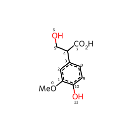 COc1cc(C(CO)C(=O)O)ccc1O